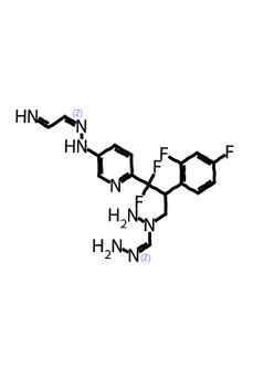 N=C/C=N\Nc1ccc(C(F)(F)C(CN(N)/C=N\N)c2ccc(F)cc2F)nc1